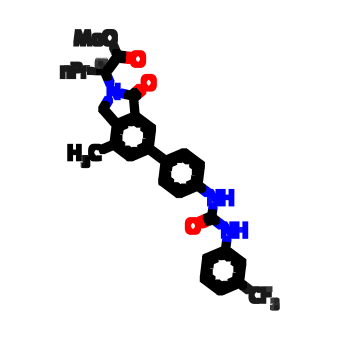 CCC[C@@H](C(=O)OC)N1Cc2c(C)cc(-c3ccc(NC(=O)Nc4cccc(C(F)(F)F)c4)cc3)cc2C1=O